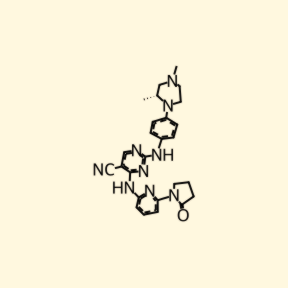 C[C@@H]1CN(C)CCN1c1ccc(Nc2ncc(C#N)c(Nc3cccc(N4CCCC4=O)n3)n2)cc1